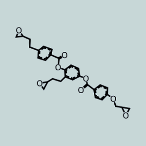 O=C(Oc1ccc(OC(=O)c2ccc(CCC3CO3)cc2)c(CCC2CO2)c1)c1ccc(OCC2CO2)cc1